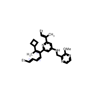 CCC=C(C)c1cc(NCc2nccnc2OC)cc(C(/C=C\C=C\CC)=C(/C)C2CCC2)n1